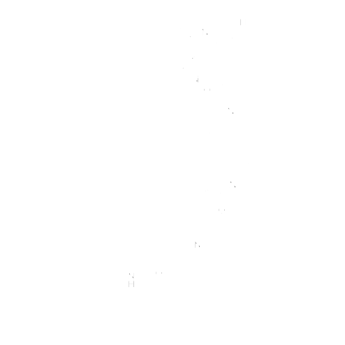 COc1cc2c(cc1CNCC(O[Si](C)(C)C(C)(C)C)c1ccc(O)c3[nH]c(=O)ccc13)CCN2C(=O)OCCN1CCC(OC(=O)Nc2ccccc2-c2ccccc2)CC1